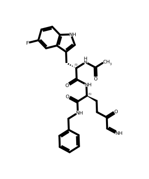 CC(=O)N[C@@H](Cc1c[nH]c2ccc(F)cc12)C(=O)N[C@@H](CCC(=O)C=N)C(=O)NCc1ccccc1